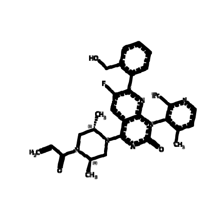 C=CC(=O)N1C[C@H](C)N(c2nc(=O)n(-c3c(C)ccnc3C(C)C)c3nc(-c4ccccc4CO)c(F)cc23)C[C@H]1C